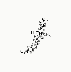 C[C@@H]1CN(c2ncc(C(F)(F)F)cn2)C[C@H](C)N1C(=O)NC1CC2(C1)CN(Cc1ccc([N+](=O)[O-])cc1)C2